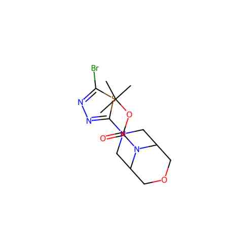 CC(C)(C)OC(=O)N1C2COCC1CN(c1nnc(Br)s1)C2